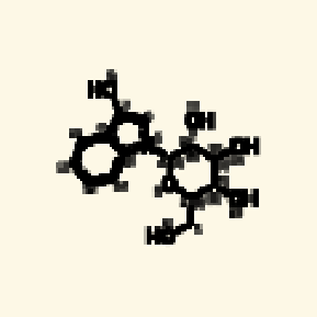 OC[C@H]1O[C@@H](n2cc(O)c3ccccc32)[C@H](O)[C@@H](O)[C@H]1O